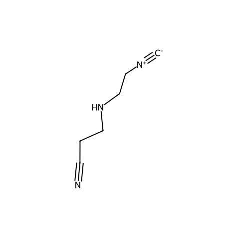 [C-]#[N+]CCNCCC#N